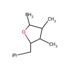 BC1OC(CC(C)C)C(C)C1C